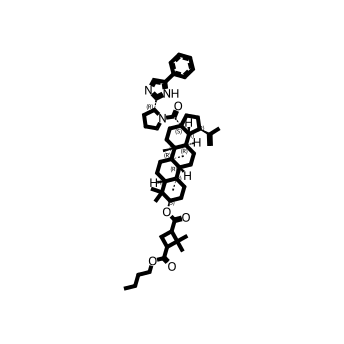 C=C(C)[C@@H]1CC[C@]2(C(=O)N3CCC[C@@H]3c3ncc(-c4ccccc4)[nH]3)CC[C@]3(C)[C@H](CC[C@@H]4[C@@]5(C)CC[C@H](OC(=O)C6CC(C(=O)OCCCC)C6(C)C)C(C)(C)[C@@H]5CC[C@]43C)[C@@H]12